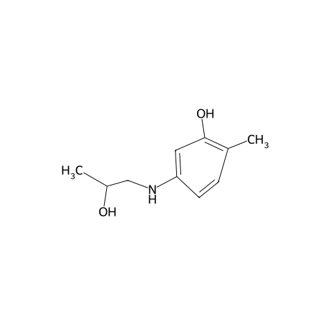 Cc1ccc(NCC(C)O)cc1O